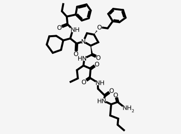 CCCCC(NC(=O)CNC(=O)C(=O)C(CCC)NC(=O)[C@@H]1C[C@@H](OCc2ccccc2)CN1C(=O)C(NC(=O)C(CC)c1ccccc1)C1CCCCC1)C(N)=O